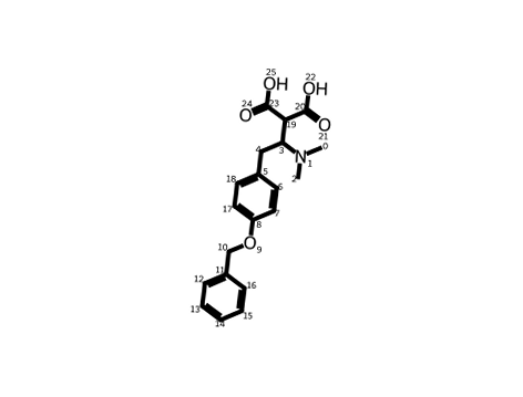 CN(C)C(Cc1ccc(OCc2ccccc2)cc1)C(C(=O)O)C(=O)O